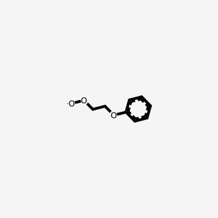 [O]OCCOc1ccccc1